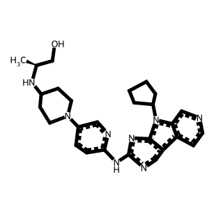 C[C@@H](CO)NC1CCN(c2ccc(Nc3ncc4c5ccncc5n(C5CCCC5)c4n3)nc2)CC1